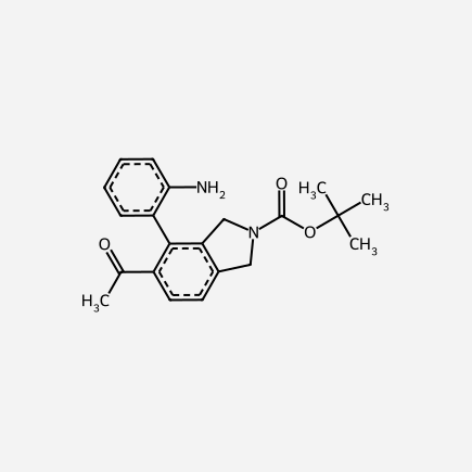 CC(=O)c1ccc2c(c1-c1ccccc1N)CN(C(=O)OC(C)(C)C)C2